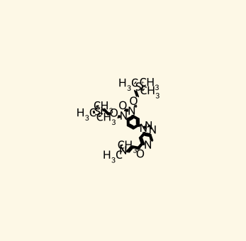 CN(C)/C=C/C(=O)c1cc2c(cn1)nnn2-c1ccc2c(c1)n(COCC[Si](C)(C)C)c(=O)n2COCC[Si](C)(C)C